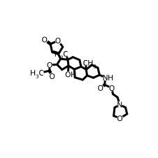 CC(=O)OC1CC2(O)C3CCC4CC(NC(=O)OCCN5CCOCC5)CCC4(C)C3CCC2(C)C1C1=CC(=O)OC1